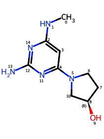 CNc1cc(N2CC[C@@H](O)C2)nc(N)n1